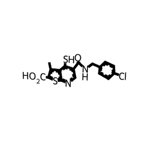 Cc1c(C(=O)O)sc2ncc(C(=O)NCc3ccc(Cl)cc3)c(S)c12